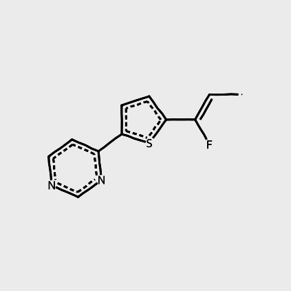 [CH2]/C=C(\F)c1ccc(-c2ccncn2)s1